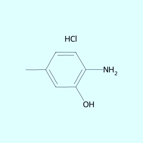 Cc1ccc(N)c(O)c1.Cl